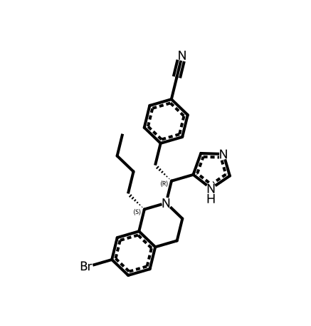 CCCC[C@H]1c2cc(Br)ccc2CCN1[C@H](Cc1ccc(C#N)cc1)c1cnc[nH]1